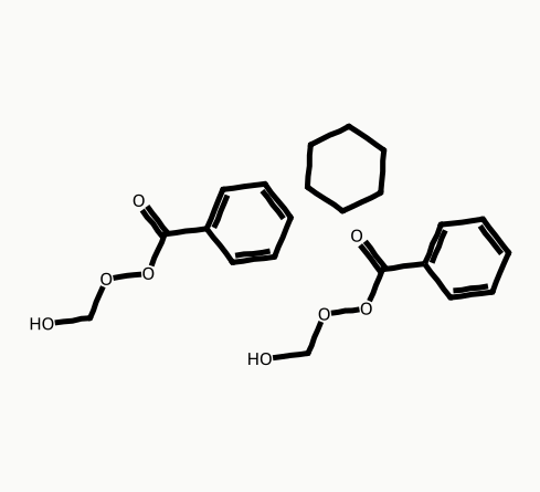 C1CCCCC1.O=C(OOCO)c1ccccc1.O=C(OOCO)c1ccccc1